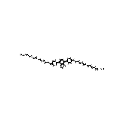 COCCOCCOCCOCCOc1ccc(-c2ccc(-c3ccc(OCCOCCOCCOCCOC)cc3)c3nsnc23)cc1